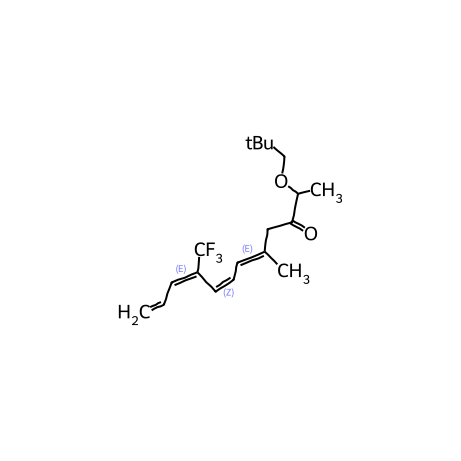 C=C\C=C(/C=C\C=C(/C)CC(=O)C(C)OCC(C)(C)C)C(F)(F)F